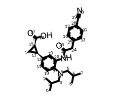 CC(C)CN(CC(C)C)c1ccc([C@H]2C[C@H]2C(=O)O)cc1NC(=O)Cc1ccc(C#N)cc1